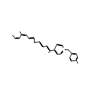 C\C=C/C(=C\C=C\C/C=C/C=C(\CCC)c1cc[n+](Cc2ccc(C(C)(C)C)cc2)cc1)C(C)(C)C